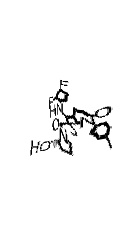 Cc1ccc(-n2c(=O)ccc3c(Nc4ccc(F)cc4F)c(C(=O)N4CCC[C@@H]4CO)sc32)cc1